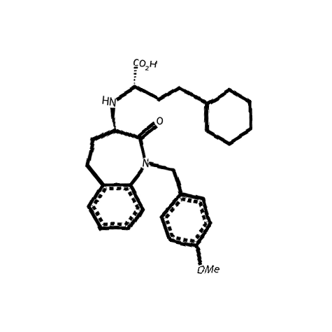 COc1ccc(CN2C(=O)[C@H](N[C@@H](CCC3CCCCC3)C(=O)O)CCc3ccccc32)cc1